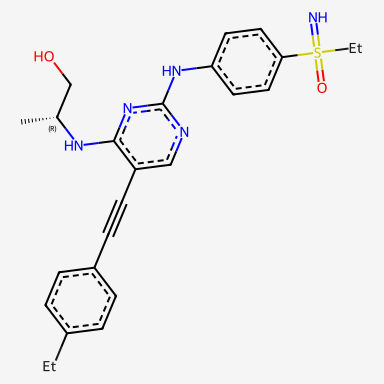 CCc1ccc(C#Cc2cnc(Nc3ccc(S(=N)(=O)CC)cc3)nc2N[C@H](C)CO)cc1